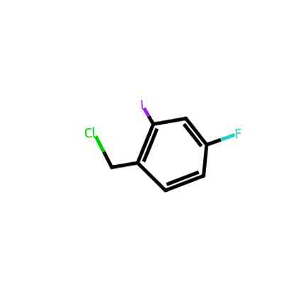 Fc1ccc(CCl)c(I)c1